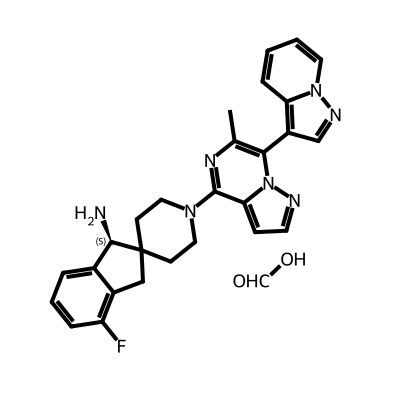 Cc1nc(N2CCC3(CC2)Cc2c(F)cccc2[C@H]3N)c2ccnn2c1-c1cnn2ccccc12.O=CO